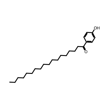 CCCCCCCCCCCCCCCCCC(=O)c1ccc(O)cc1